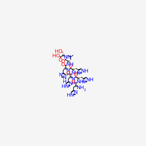 CC(C)C[C@H](NC(=O)[C@H](Cc1c[nH]cn1)NC(=O)[C@H](Cc1c[nH]cn1)NC(=O)[C@H](Cc1c[nH]cn1)NC(=O)[C@H](Cc1c[nH]cn1)NC(=O)[C@@H](N)Cc1c[nH]cn1)C(=O)N[C@@H](CO)C(=O)O